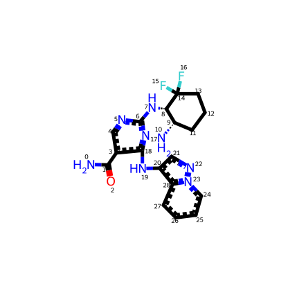 NC(=O)c1cnc(N[C@H]2[C@@H](N)CCCC2(F)F)nc1Nc1cnn2ccccc12